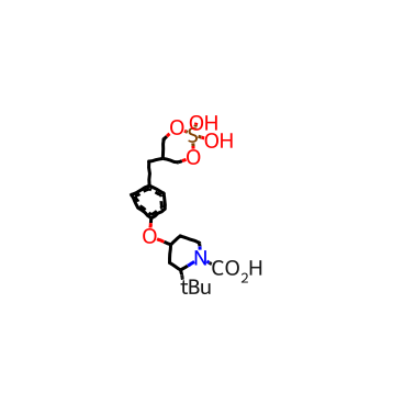 CC(C)(C)C1CC(Oc2ccc(CC3COS(O)(O)OC3)cc2)CCN1C(=O)O